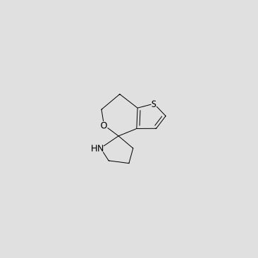 c1cc2c(s1)CCOC21CCCN1